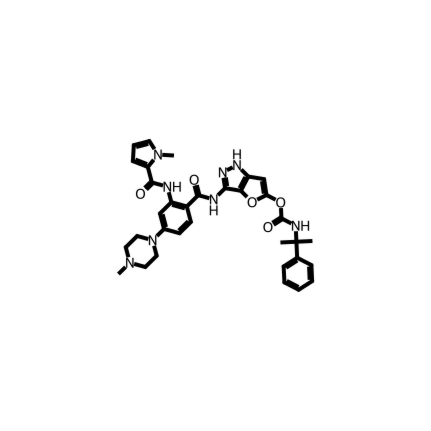 CN1CCN(c2ccc(C(=O)Nc3n[nH]c4cc(OC(=O)NC(C)(C)c5ccccc5)oc34)c(NC(=O)c3cccn3C)c2)CC1